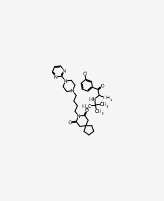 CC(NC(C)(C)C)C(=O)c1cccc(Cl)c1.O=C1CC2(CCCC2)CC(=O)N1CCCCN1CCN(c2ncccn2)CC1